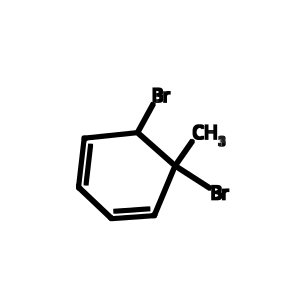 CC1(Br)C=CC=CC1Br